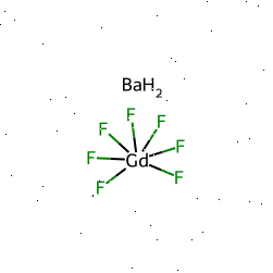 [BaH2].[F][Gd]([F])([F])([F])([F])([F])[F]